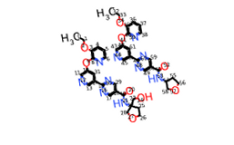 CCOc1cccnc1Oc1cncc(-c2ncc(C(=O)NC3(CO)CCOC3)cn2)c1.CCOc1cccnc1Oc1cncc(-c2ncc(C(=O)NC3CCOC3)cn2)c1